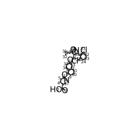 O=C(O)c1ccc(Oc2cccc3cc(OCc4c(-c5c(Cl)cccc5Cl)noc4C4CC4)ccc23)nc1